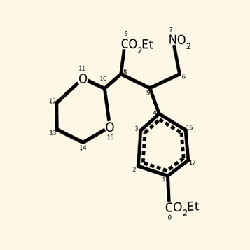 CCOC(=O)c1ccc(C(C[N+](=O)[O-])C(C(=O)OCC)C2OCCCO2)cc1